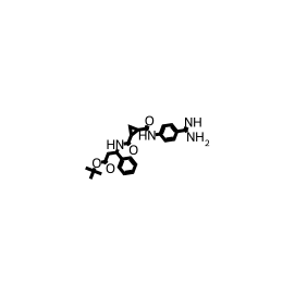 CC(C)(C)OC(=O)CC(NC(=O)C1CC1C(=O)Nc1ccc(C(=N)N)cc1)c1ccccc1